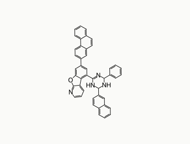 c1ccc(C2N=C(c3cc(-c4ccc5c(ccc6ccccc65)c4)cc4oc5ncccc5c34)NC(c3ccc4ccccc4c3)N2)cc1